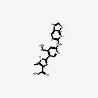 CNC(=O)c1nc(-c2cnc(Nc3ccc4ncsc4n3)cc2NC(C)C)sc1C